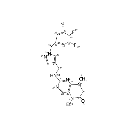 CCN1C(=O)CN(C)c2nc(NCc3cnn(Cc4cc(F)c(F)c(F)c4)c3)ncc21